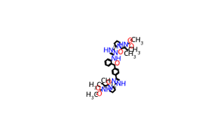 COC(=O)N[C@H](C(=O)N1CCC[C@H]1c1nc(Nc2ccccc2C(=O)c2ccc(-c3c[nH]c([C@@H]4CCCN4C(=O)[C@@H](NC(=O)OC)C(C)C)n3)cc2)c[nH]1)C(C)C